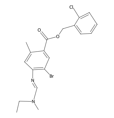 CCN(C)/C=N/c1cc(C)c(C(=O)OCc2ccccc2Cl)cc1Br